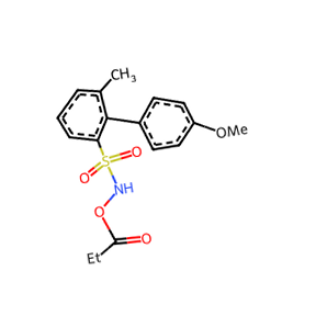 CCC(=O)ONS(=O)(=O)c1cccc(C)c1-c1ccc(OC)cc1